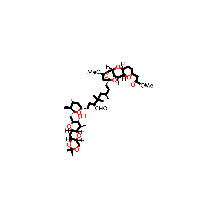 C=C1[C@H](C)C[C@H](CC[C@H](C=O)C(C)(C)C[C@H](C)CC[C@]23CC(OC)C(O2)[C@H]2C[C@@H](O3)[C@H]3OC(CC(=O)OC)CC[C@@H]3O2)O[C@@H]1CC1O[C@H]2C[C@H]3OC(C)(C)OC[C@H]3O[C@H]2[C@H](C)[C@H]1O